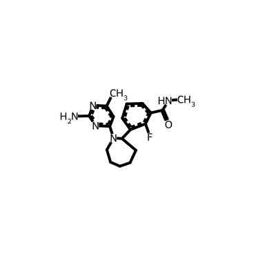 CNC(=O)c1cccc(C2CCCCCN2c2cc(C)nc(N)n2)c1F